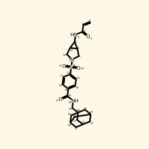 C=CC(=O)NC1C2CN(S(=O)(=O)c3ccc(C(=O)NCC45CC6CC(CC(C6)C4)C5)cc3)CC21